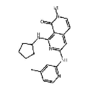 CCn1ccc2cc(Nc3cc(C)ccn3)nc(NC3CCCC3)c2c1=O